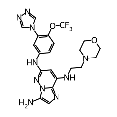 Nc1cnc2c(NCCN3CCOCC3)cc(Nc3ccc(OC(F)(F)F)c(-n4cnnc4)c3)nn12